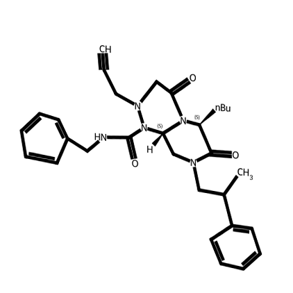 C#CCN1CC(=O)N2[C@@H](CCCC)C(=O)N(CC(C)c3ccccc3)C[C@@H]2N1C(=O)NCc1ccccc1